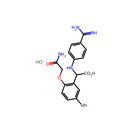 CCCc1ccc(OCC(N)=O)c(C(Nc2ccc(C(=N)N)cc2)C(=O)O)c1.Cl